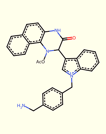 CC(=O)ON1c2c(ccc3ccccc23)NC(=O)C1c1cn(Cc2ccc(CN)cc2)c2ccccc12